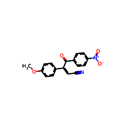 COc1ccc(C(=CC#N)C(=O)c2ccc([N+](=O)[O-])cc2)cc1